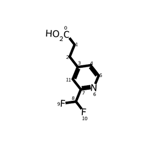 O=C(O)CCc1ccnc(C(F)F)c1